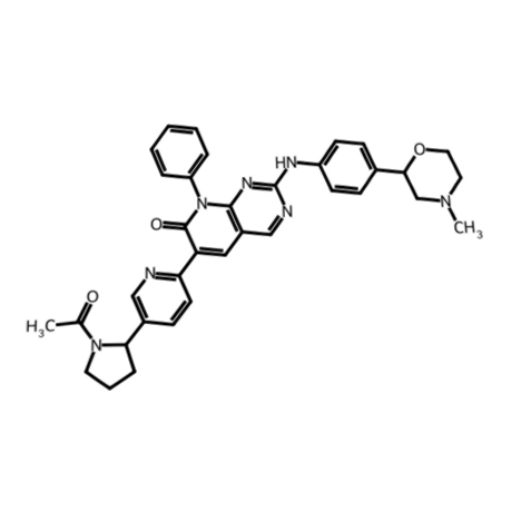 CC(=O)N1CCCC1c1ccc(-c2cc3cnc(Nc4ccc(C5CN(C)CCO5)cc4)nc3n(-c3ccccc3)c2=O)nc1